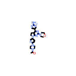 CC(=O)N1CCN(c2ccc(N3CCc4c(-c5cnc(N)nc5)nc(N5CCOCC5)nc43)cn2)CC1